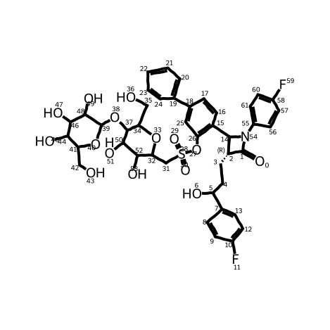 O=C1[C@H](CCC(O)c2ccc(F)cc2)C(c2ccc(-c3ccccc3)cc2OS(=O)(=O)CC2OC(CO)C(OC3OC(CO)C(O)C(O)C3O)C(O)C2O)N1c1ccc(F)cc1